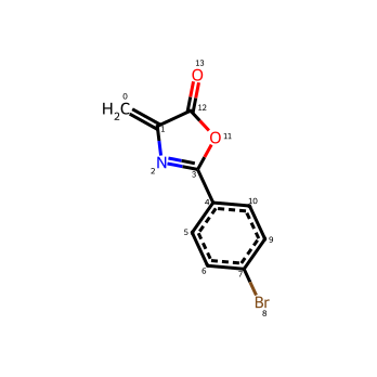 C=C1N=C(c2ccc(Br)cc2)OC1=O